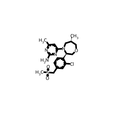 Cc1cc(N2C[C@H](C)COC[C@H]2c2ccc(CS(C)(=O)=O)cc2Cl)nc(N)n1